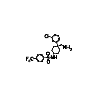 NC[C@]1(c2cccc(Cl)c2)CC[C@@H](NS(=O)(=O)c2ccc(C(F)(F)F)cc2)CC1